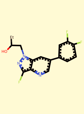 CCC(O)Cn1nc(F)c2ncc(-c3ccc(F)c(F)c3)cc21